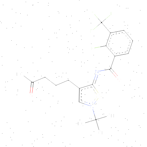 CC(=O)CCCc1cn(C(C)(C)C)sc1=NC(=O)c1cccc(C(F)(F)F)c1F